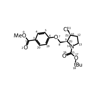 COC(=O)c1ccc(OC[C@H]2[C@@H](Cl)CCN2C(=O)OC(C)(C)C)cc1